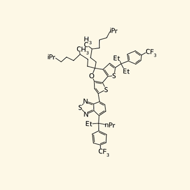 CCCC(CC)(c1ccc(C(F)(F)F)cc1)c1ccc(-c2cc3c(s2)-c2sc(C(CC)(CC)c4ccc(C(F)(F)F)cc4)cc2C(CCC(C)CCCC(C)C)(CCC(C)CCCC(C)C)O3)c2nsnc12